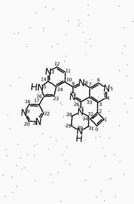 C1=CC(c2cncc3nc(-c4ccnc5[nH]c(-c6cncnc6)cc45)nc(N4CCNCC4)c23)=C1